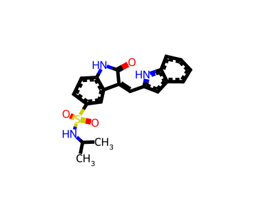 CC(C)NS(=O)(=O)c1ccc2c(c1)C(=Cc1cc3ccccc3[nH]1)C(=O)N2